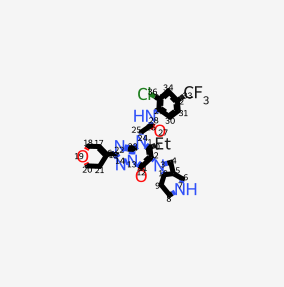 CCc1c(N2CC3CNCCC32)c(=O)n2nc(C3=CCOCC3)nc2n1CC(=O)Nc1ccc(C(F)(F)F)cc1Cl